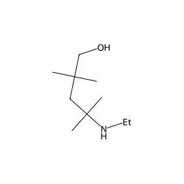 CCNC(C)(C)CC(C)(C)CO